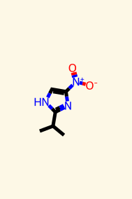 CC(C)c1nc([N+](=O)[O-])c[nH]1